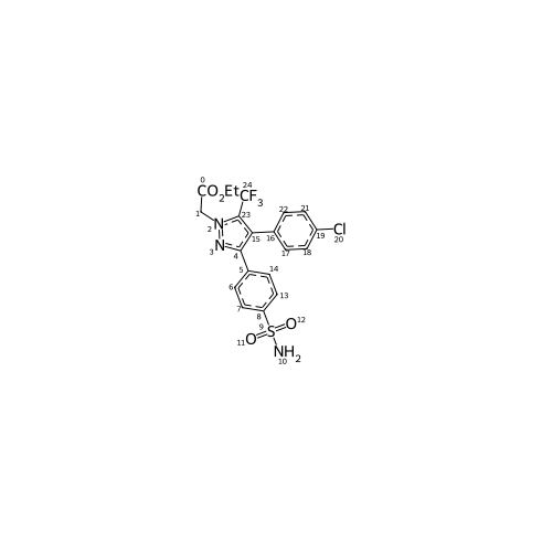 CCOC(=O)Cn1nc(-c2ccc(S(N)(=O)=O)cc2)c(-c2ccc(Cl)cc2)c1C(F)(F)F